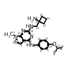 Cn1ncc2c(Nc3ccc(OC(F)F)cc3)nc(NCC3(N)CCC3)nc21